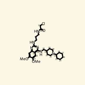 COc1cc2nc(NCCCNC(=O)CCl)nc(NCC3CCN(C4CCCCC4)CC3)c2cc1OC